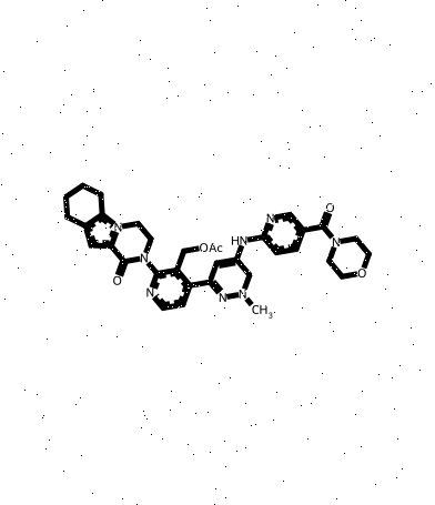 CC(=O)OCc1c(C2=NN(C)CC(Nc3ccc(C(=O)N4CCOCC4)cn3)=C2)ccnc1N1CCn2c(cc3c2CCCC3)C1=O